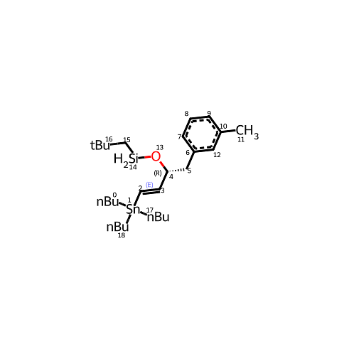 CCC[CH2][Sn](/[CH]=C/[C@@H](Cc1cccc(C)c1)O[SiH2]CC(C)(C)C)([CH2]CCC)[CH2]CCC